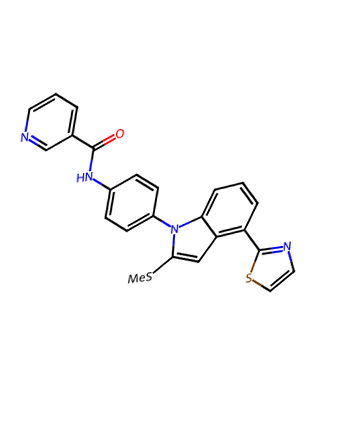 CSc1cc2c(-c3nccs3)cccc2n1-c1ccc(NC(=O)c2cccnc2)cc1